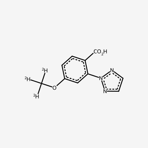 [2H]C([2H])([2H])Oc1ccc(C(=O)O)c(-n2nccn2)c1